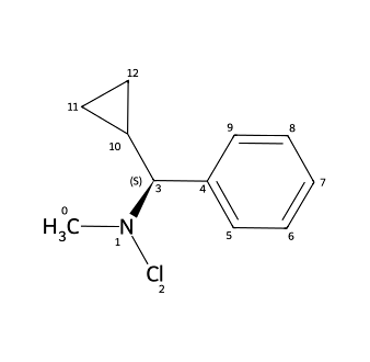 CN(Cl)[C@H](c1ccccc1)C1CC1